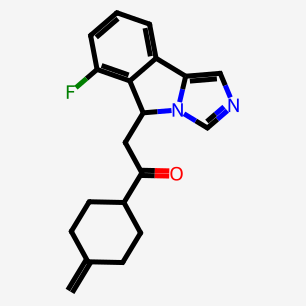 C=C1CCC(C(=O)CC2c3c(F)cccc3-c3cncn32)CC1